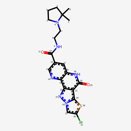 CC1(C)CCCN1CCNC(=O)c1cnc2c(c1)[nH]c(=O)c1c2nn2cc(Br)sc12